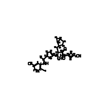 Cc1ncc(Cl)cc1N[C@@H](C)c1ccc(N(C=O)[C@@H](CC2CCC3CC32)C(=O)NC23CC(C#N)(C2)C3)s1